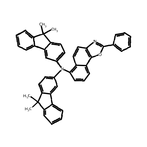 CC1(C)c2ccccc2-c2cc(N(c3ccc4c(c3)-c3ccccc3C4(C)C)c3cccc4c3ccc3nc(-c5ccccc5)oc34)ccc21